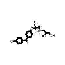 CC(C)(Oc1ccc(C(=O)c2ccc(Cl)cc2)cc1)C(=O)NCC(O)CO